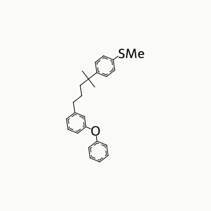 CSc1ccc(C(C)(C)CCCc2cccc(Oc3ccccc3)c2)cc1